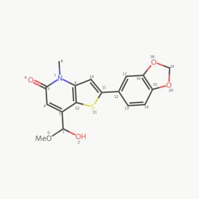 COC(O)c1cc(=O)n(C)c2cc(-c3ccc4c(c3)OCO4)sc12